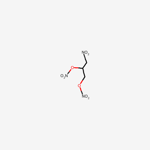 O=[N+]([O-])CC(CO[N+](=O)[O-])O[N+](=O)[O-]